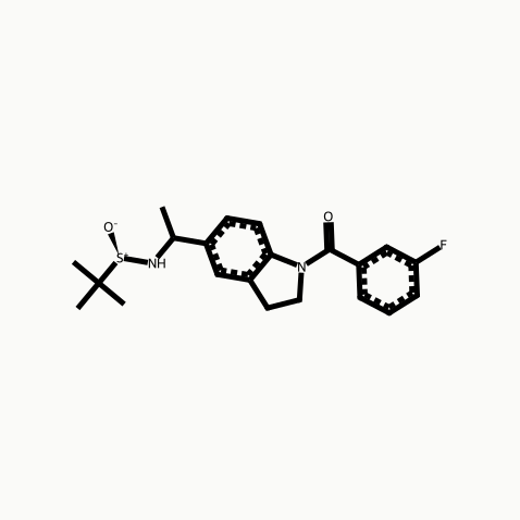 CC(N[S@+]([O-])C(C)(C)C)c1ccc2c(c1)CCN2C(=O)c1cccc(F)c1